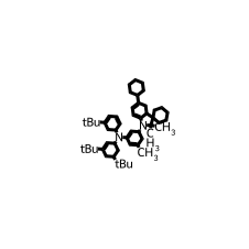 CC1=CC(N(C2C=CC=C(C(C)(C)C)C2)C2C=C(C(C)(C)C)CC(C(C)(C)C)C2)=CC(N2C3=CC=C(C4CCCCC4)CC3C3(CCCCC3)C2(C)C)C1